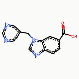 O=C(O)c1ccc2ncn(Cc3cncnc3)c2c1